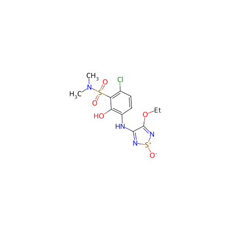 CCOc1n[s+]([O-])nc1Nc1ccc(Cl)c(S(=O)(=O)N(C)C)c1O